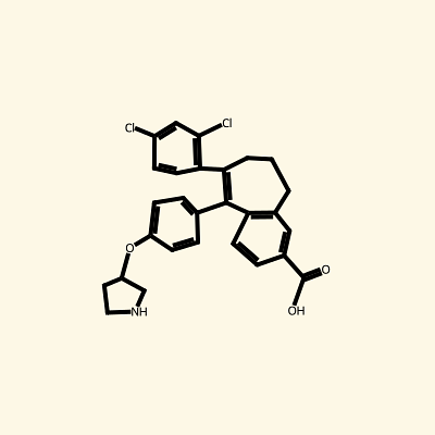 O=C(O)c1ccc2c(c1)CCCC(c1ccc(Cl)cc1Cl)=C2c1ccc(OC2CCNC2)cc1